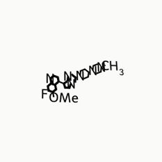 COc1cc2c(-c3ccn4cc(N5CCC(N6CCN(C)CC6)CC5)cnc34)ccnc2cc1F